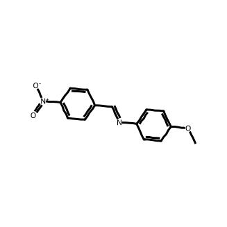 COc1ccc(/N=C/c2ccc([N+](=O)[O-])cc2)cc1